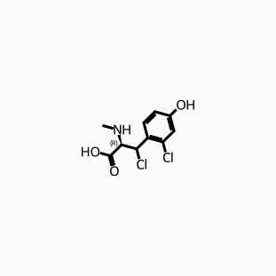 CN[C@H](C(=O)O)C(Cl)c1ccc(O)cc1Cl